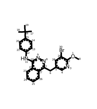 COc1ncc(Cc2nnc(Nc3ccc(C(C)(C)C)cc3)c3ccccc23)cc1Br